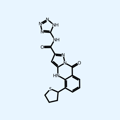 O=C(Nc1nnn[nH]1)c1cc2[nH]c3c(C4CCCS4)cccc3c(=O)n2n1